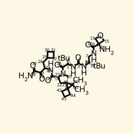 CC(C)(C)[C@H](NC(=O)N[C@H](CNC(=O)C1(N)COC1)C(C)(C)C)C(=O)N1C[C@]2(C[C@H]1C(=O)NC(CC1CCC1)C(=O)C(N)=O)C(C)(C)C21CCC1